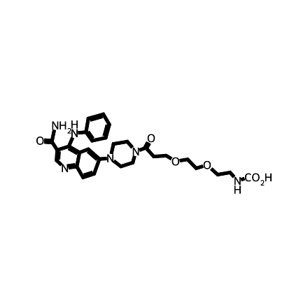 NC(=O)c1cnc2ccc(N3CCN(C(=O)CCOCCOCCNC(=O)O)CC3)cc2c1Nc1ccccc1